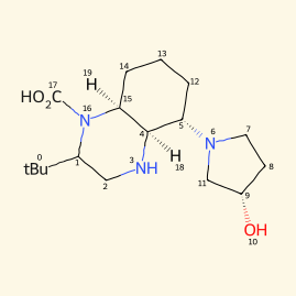 CC(C)(C)C1CN[C@@H]2[C@@H](N3CC[C@H](O)C3)CCC[C@@H]2N1C(=O)O